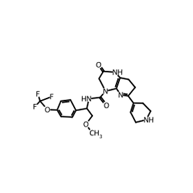 COCC(NC(=O)N1CC(=O)NC2=C1N=C(C1=CCNCC1)CC2)c1ccc(OC(F)(F)F)cc1